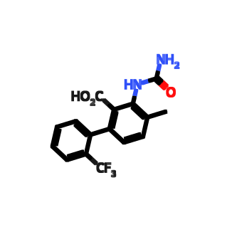 Cc1ccc(-c2ccccc2C(F)(F)F)c(C(=O)O)c1NC(N)=O